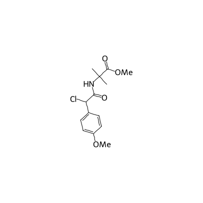 COC(=O)C(C)(C)NC(=O)C(Cl)c1ccc(OC)cc1